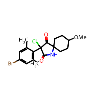 COC1CCC2(CC1)NC(=O)C(Cl)(c1c(C)cc(Br)cc1C)C2=O